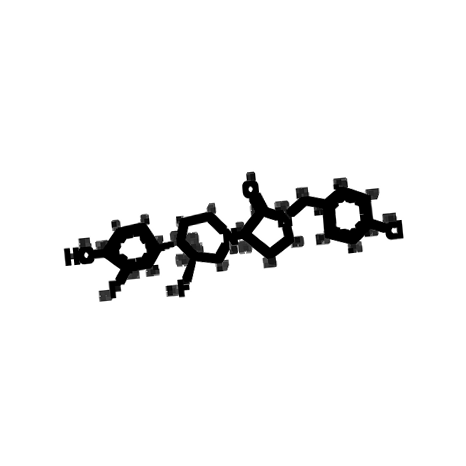 O=C1[C@H](N2CC[C@@H](c3ccc(O)c(F)c3)[C@H](F)C2)CCN1Cc1ccc(Cl)cc1